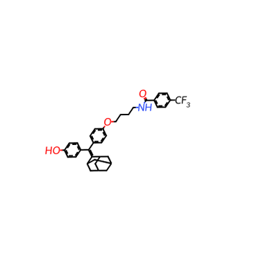 O=C(NCCCCOc1ccc(C(=C2C3CC4CC(C3)CC2C4)c2ccc(O)cc2)cc1)c1ccc(C(F)(F)F)cc1